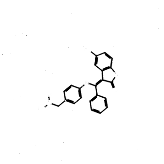 CCN(CC)Cc1ccc(NC(=C2C(=O)Nc3ccc(C(C)=O)cc32)c2ccccc2)cc1